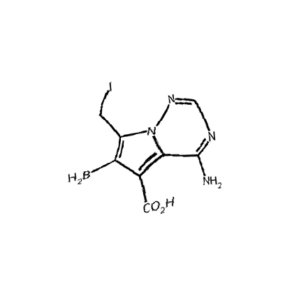 Bc1c(C(=O)O)c2c(N)ncnn2c1CI